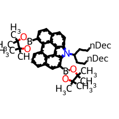 CCCCCCCCCCCCC(CCCCCCCCCCCC)n1c2ccc3ccc(B4OC(C)(C)C(C)(C)O4)c4c5cccc6cc(B7OC(C)(C)C(C)(C)O7)c1c(c65)c2c34